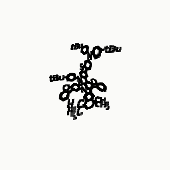 CC(C)(C)c1ccc(N2B3c4cc5oc6ccccc6c5cc4-n4c5cc6c(cc5c5c7c(oc8ccccc87)c(c3c54)-c3cc4c(cc32)sc2cc(N(c3ccc(C(C)(C)C)cc3)c3ccc(C(C)(C)C)cc3)ccc24)C(C)(C)CCC6(C)C)cc1